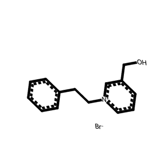 OCc1ccc[n+](CCc2ccccc2)c1.[Br-]